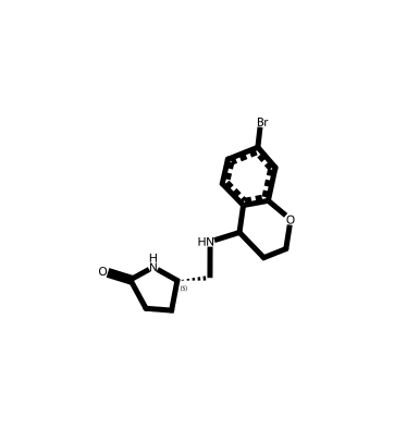 O=C1CC[C@@H](CNC2CCOc3cc(Br)ccc32)N1